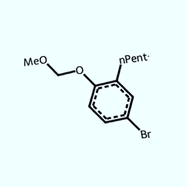 CCCC[CH]c1cc(Br)ccc1OCOC